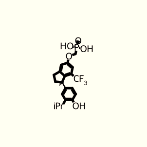 CC(C)c1cc([C@H]2CCc3cc(OCP(=O)(O)O)cc(C(F)(F)F)c32)ccc1O